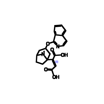 CN1C2CCC1(/C(=C\C(=O)O)C(=O)O)CC(Oc1nccc3ccccc13)C2